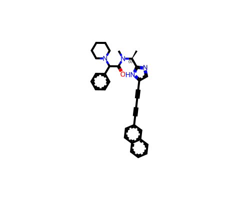 C[C@@H](c1ncc(C#CC#Cc2ccc3ccccc3c2)[nH]1)N(C)C(=O)C(c1ccccc1)N1CCCCC1